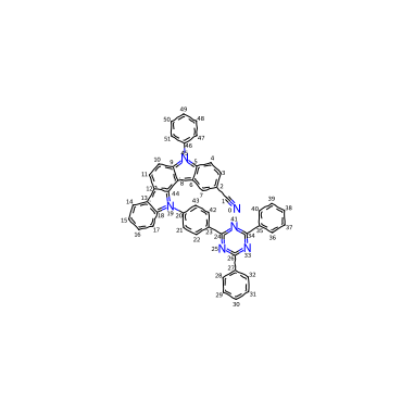 N#Cc1ccc2c(c1)c1c(ccc3c4ccccc4n(-c4ccc(-c5nc(-c6ccccc6)nc(-c6ccccc6)n5)cc4)c31)n2-c1ccccc1